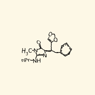 CCCNC1=NC(=C(Cc2ccccc2)C2=COCO2)C(=O)N1C